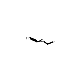 [CH2]COC=N